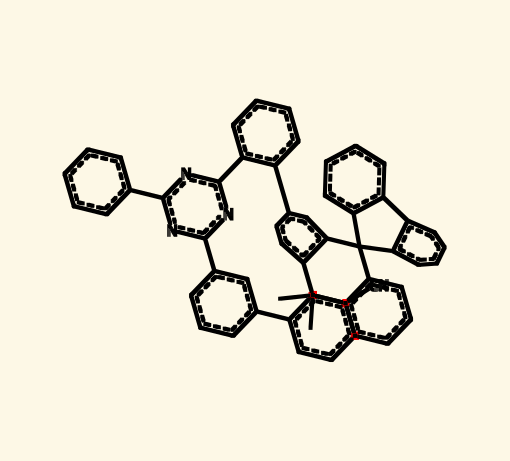 CC1(C)c2ccccc2C2(c3ccccc3-c3ccccc32)c2cc(-c3ccccc3-c3nc(-c4ccccc4)nc(-c4cccc(-c5cccc(C#N)c5)c4)n3)ccc21